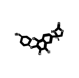 CC(C)(C)[C@H]1CC[C@H](Oc2c(Cl)c(Cl)c3cc([C@]4(C)COC(=O)N4)ccc3c2Cl)CC1